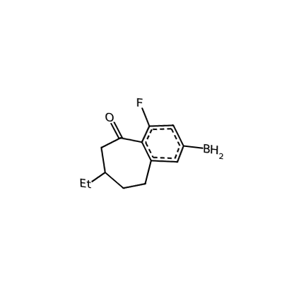 Bc1cc(F)c2c(c1)CCC(CC)CC2=O